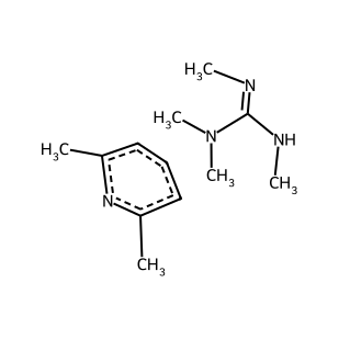 CN=C(NC)N(C)C.Cc1cccc(C)n1